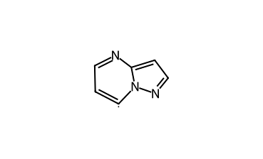 [c]1ccnc2ccnn12